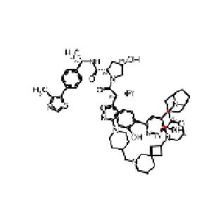 Cc1ncsc1-c1ccc([C@H](C)NC(=O)[C@@H]2C[C@@H](O)CN2C(=O)[C@@H](c2cc(N3CCC(CN4CCCC5(CC(N6CCO[C@H](CN7C8CCC7CN(c7cc(-c9ccccc9O)nnc7N)C8)C6)C5)C4)CC3)no2)C(C)C)cc1